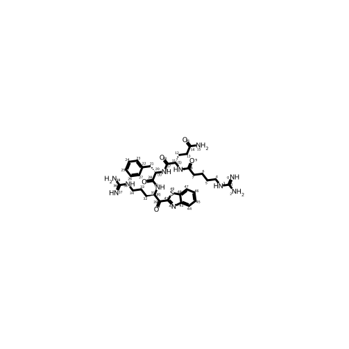 N=C(N)NCCCCC(=O)N[C@@H](CCC(N)=O)C(=O)N[C@@H](Cc1ccccc1)C(=O)N[C@H](CCCNC(=N)N)C(=O)c1nc2ccccc2s1